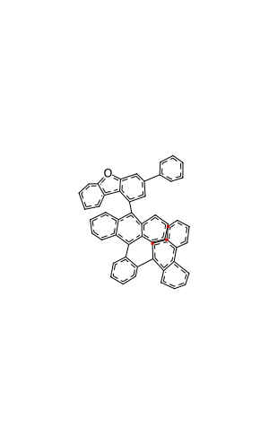 c1ccc(-c2cc(-c3c4ccccc4c(-c4ccccc4-c4cc5ccccc5c5ccccc45)c4ccccc34)c3c(c2)oc2ccccc23)cc1